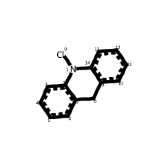 ClN1c2ccccc2Cc2ccccc21